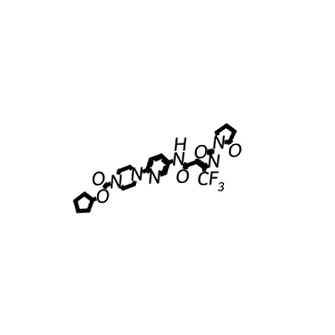 O=C(Nc1ccc(N2CCN(C(=O)OC3CCCC3)CC2)nc1)c1oc(N2CCCC2=O)nc1C(F)(F)F